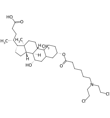 C[C@H](CCC(=O)O)[C@H]1CC[C@H]2[C@@H]3[C@@H](O)CC4C[C@@H](OC(=O)CCCCCN(CCCl)CCCl)CC[C@]4(C)[C@H]3CC[C@]12C